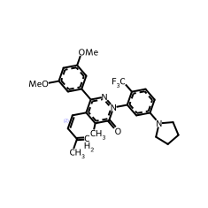 C=C(C)/C=C\c1c(-c2cc(OC)cc(OC)c2)nn(-c2cc(N3CCCC3)ccc2C(F)(F)F)c(=O)c1C